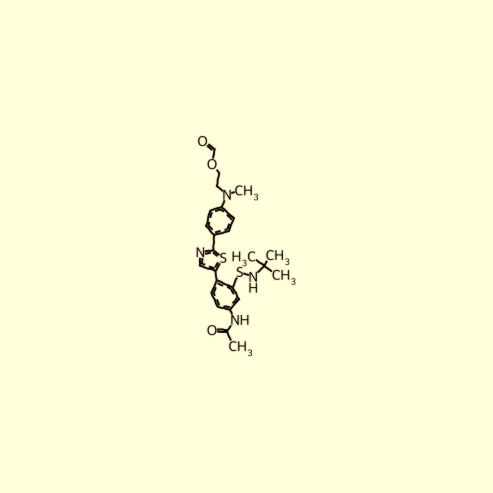 CC(=O)Nc1ccc(-c2cnc(-c3ccc(N(C)CCOC=O)cc3)s2)c(SNC(C)(C)C)c1